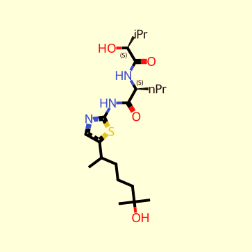 CCC[C@H](NC(=O)[C@@H](O)C(C)C)C(=O)Nc1ncc(C(C)CCCC(C)(C)O)s1